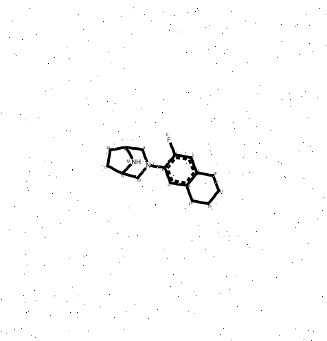 Fc1cc2c(cc1N1CC3CCC(C1)N3)CCCC2